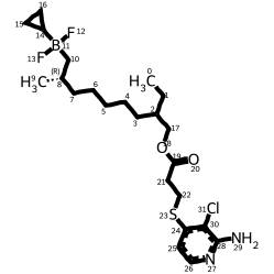 CCC(CCCCC[C@H](C)C[B-](F)(F)C1CC1)COC(=O)CCSc1ccnc(N)c1Cl